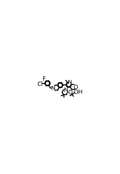 Cc1nc(C)c([C@H](OC(C)(C)C)C(=O)O)c(N2CCC(C)(C)CC2)c1-c1ccc2c(c1)CCN(Cc1ccc(F)c(Cl)c1)C2